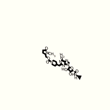 CN1C(=O)CCC1COC(=O)N1CCC(Cc2nc(N)c3ncn([C@@H]4O[C@H](C(=O)NC5CC5)C(O)C4O)c3n2)CC1